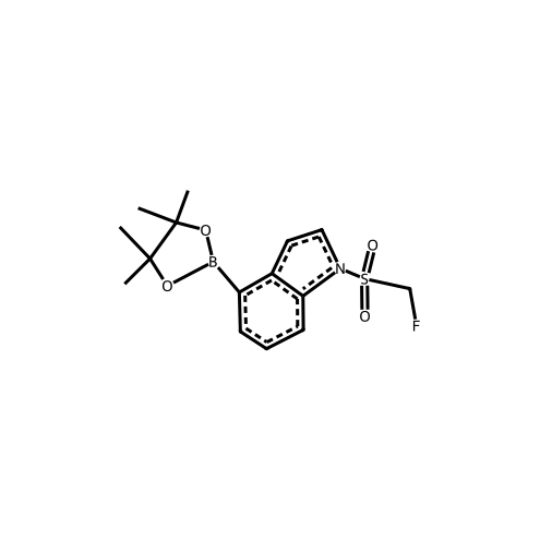 CC1(C)OB(c2cccc3c2ccn3S(=O)(=O)CF)OC1(C)C